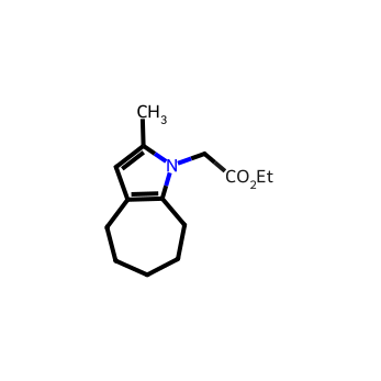 CCOC(=O)Cn1c(C)cc2c1CCCCC2